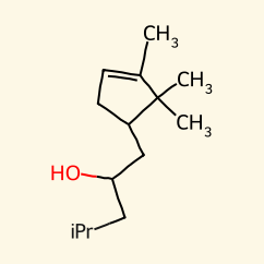 CC1=CCC(CC(O)CC(C)C)C1(C)C